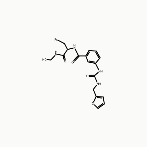 CC(C)CC(NC(=O)c1cccc(NC(=O)NCc2ccco2)c1)C(=O)NCC#N